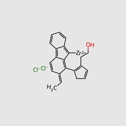 CC=c1ccc2c(c1C1=C(CCO)C=CC1)[C]([Zr+2])=c1ccccc1=2.[Cl-].[Cl-]